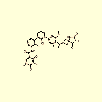 COc1nc(-c2cccc(-c3cccc(NC(=O)c4cn(C)c(=O)n(C)c4=O)c3Cl)c2Cl)cc2c1C(N1CC3(C1)NC(=O)NC3=O)CC2